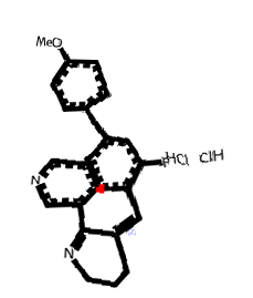 COc1ccc(-c2ccc(/C=C3/CCCN=C3c3cccnc3)c(F)c2)cc1.Cl.Cl